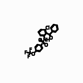 O=C(c1ccccc1)c1c(Cl)cccc1NS(=O)(=O)c1ccc(OC(F)(F)F)cc1